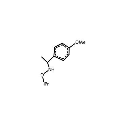 COc1ccc(C(C)NOC(C)C)cc1